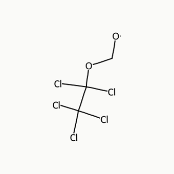 [O]COC(Cl)(Cl)C(Cl)(Cl)Cl